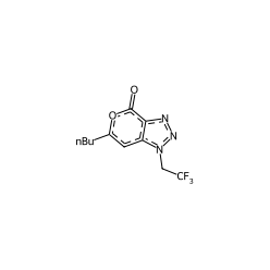 CCCCc1cc2c(nnn2CC(F)(F)F)c(=O)o1